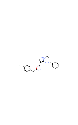 CC1(C)CC(c2ccccc2)Nc2c(-c3nnc(Cc4ccc(Cl)cc4)o3)cnn21